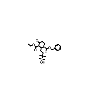 CCOC(=O)C1C(=O)CCN(C(=O)OCc2ccccc2)C1CCC(C)(C)[Si](C)(C)O